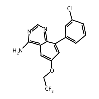 Nc1ncnc2c(-c3cccc(Cl)c3)cc(OCC(F)(F)F)cc12